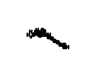 CCCc1sc(NC(=O)c2ccc(NCCOCCOCCOCCOCCOCCC(=O)O)cc2NC(C)=O)nc1C